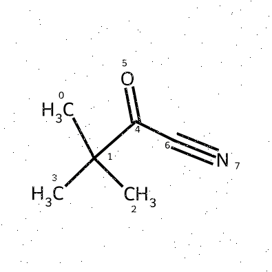 CC(C)(C)C(=O)C#N